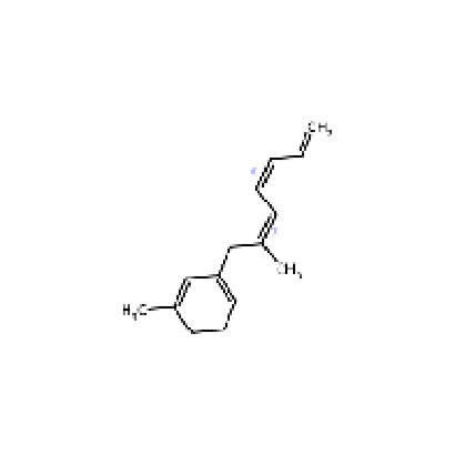 C=C/C=C\C=C(\C)CC1=CCCC(C)=C1